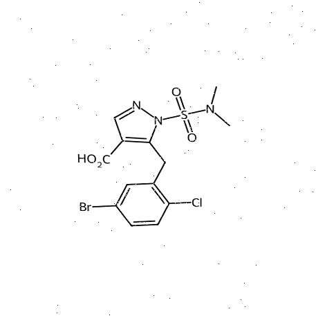 CN(C)S(=O)(=O)n1ncc(C(=O)O)c1Cc1cc(Br)ccc1Cl